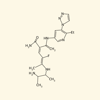 C=C(Nc1cnc(CC)c(-n2ccnn2)c1)/C(=C\C(F)=C(/C)NC(C)C(C)N)C(N)=O